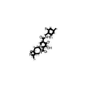 Cc1cc(F)c(CNC(=O)c2cn3c(c(O)c2=O)C(=O)N2Cc4c(C)noc4CC3C2)c(F)c1